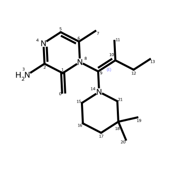 C=C1C(N)=NC=C(C)N1/C(=C(\C)CC)N1CCCC(C)(C)C1